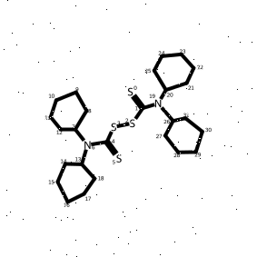 S=C(SSC(=S)N(C1CCCCC1)C1CCCCC1)N(C1CCCCC1)C1CCCCC1